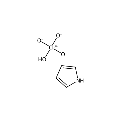 [O-][Cl+3]([O-])([O-])O.c1cc[nH]c1